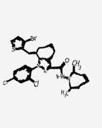 CC1CCCC(C)N1NC(=O)c1nn(-c2ccc(Cl)cc2Cl)c2c1CCC/C2=C\c1sccc1Br